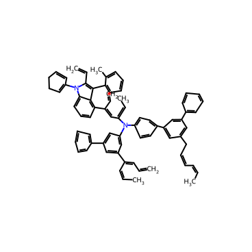 C=C/C=C(\C=C/C)c1cc(-c2ccccc2)cc(N(C(/C=C(\C=C)c2cccc3c2c(-c2ccccc2C)c(C=C)n3C2=CCCC=C2)=C/C)c2ccc(-c3cc(C/C=C\C=C/C)cc(-c4ccccc4)c3)cc2)c1